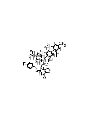 [2H]c1c([2H])c(C([2H])([2H])N(C(=O)Cn2c(SCc3ccc(F)cc3)nc(=O)c3c2CCC3)C([2H])([2H])CN(CC)C([2H])([2H])C)c([2H])c([2H])c1-c1c([2H])c([2H])c(C(F)(F)F)c(C)c1[2H]